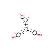 C/C=C/C(=C\C(C)=C\O)C(C)(C)c1cc(C(C)(C)c2cc(C)c(O)c(C)c2)cc(C(C)(C)c2cc(C)c(O)c(C)c2)c1